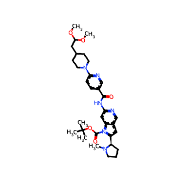 COC(CC1CCN(c2ccc(C(=O)Nc3cc4c(cn3)cc([C@H]3CCCN3C)n4C(=O)OC(C)(C)C)cn2)CC1)OC